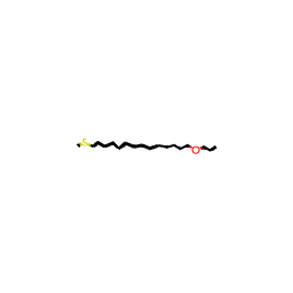 CCCOCCCCCCCCCCCCCCSC